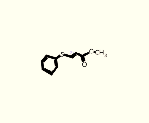 COC(=O)/C=C/Sc1ccccc1